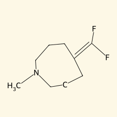 CN1CCCC(=C(F)F)CCC1